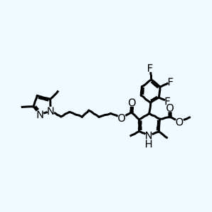 COC(=O)C1=C(C)NC(C)=C(C(=O)OCCCCCCn2nc(C)cc2C)C1c1ccc(F)c(F)c1F